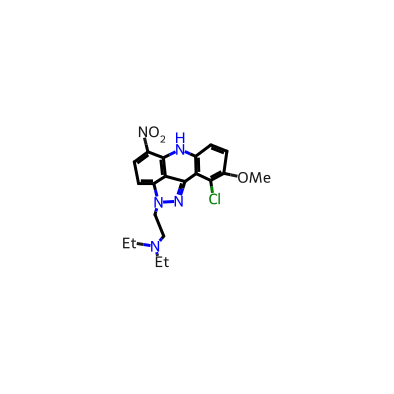 CCN(CC)CCn1nc2c3c(c([N+](=O)[O-])ccc31)Nc1ccc(OC)c(Cl)c1-2